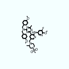 COc1ccc(CN(Cc2ccc(OC)cc2)c2nc(C)nc(-c3cc(CN4CCN(S(C)(=O)=O)CC4C)cnc3Nc3cnc(OC)c(F)c3)n2)cc1